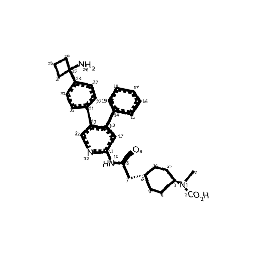 CN(C(=O)O)[C@H]1CC[C@H](CC(=O)Nc2cc(-c3ccccc3)c(-c3ccc(C4(N)CCC4)cc3)cn2)CC1